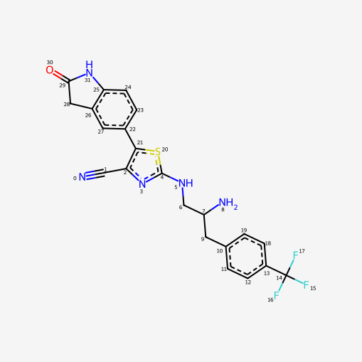 N#Cc1nc(NCC(N)Cc2ccc(C(F)(F)F)cc2)sc1-c1ccc2c(c1)CC(=O)N2